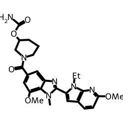 CCn1c(-c2nc3cc(C(=O)N4CCCC(OC(N)=O)C4)cc(OC)c3n2C)cc2ccc(OC)nc21